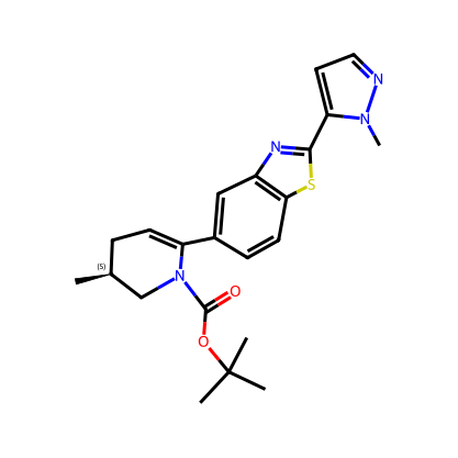 C[C@H]1CC=C(c2ccc3sc(-c4ccnn4C)nc3c2)N(C(=O)OC(C)(C)C)C1